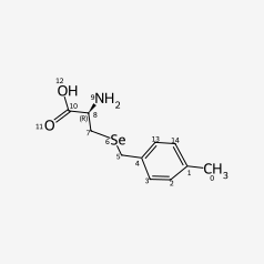 Cc1ccc(C[Se]C[C@H](N)C(=O)O)cc1